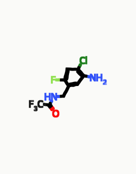 Nc1cc(CNC(=O)C(F)(F)F)c(F)cc1Cl